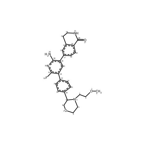 COCCN1CCOCC1c1ccc(-c2cc(-c3ccc4c(c3)CCNC4=O)c(N)nc2F)cc1